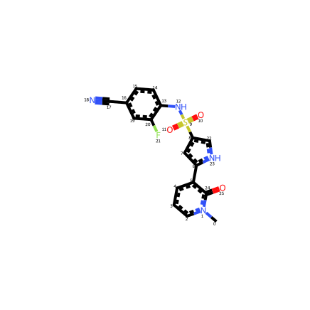 Cn1cccc(-c2cc(S(=O)(=O)Nc3ccc(C#N)cc3F)c[nH]2)c1=O